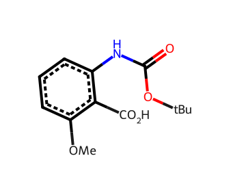 COc1cccc(NC(=O)OC(C)(C)C)c1C(=O)O